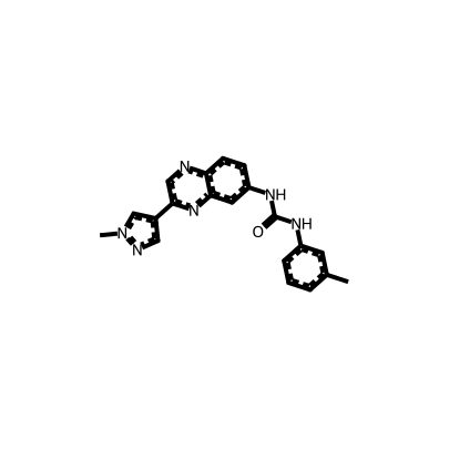 Cc1cccc(NC(=O)Nc2ccc3ncc(-c4cnn(C)c4)nc3c2)c1